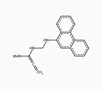 C=C=C(NC)NCNc1cc2ccccc2c2ccccc12